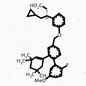 COc1ccc(F)c(-c2ccc(COc3cccc([C@@H](CC(=O)O)CC4CC4)c3)cc2C2=CC(C)(C)CC(C)(C)C2)c1